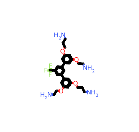 NCCCOc1cc(OCCN)cc(-c2cc(-c3cc(OCCN)cc(OCCCN)c3)cc(C(F)(F)F)c2)c1